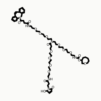 O=C(CCC(=O)N1Cc2ccccc2C#Cc2ccccc21)NCCOCCOCCOCCN(CCOCCOCCOCCNC(=O)OC1CCCCCCC1)C(=O)CCOCCOCCOCCOCCNC(=O)CCN1C(=O)C=CC1O